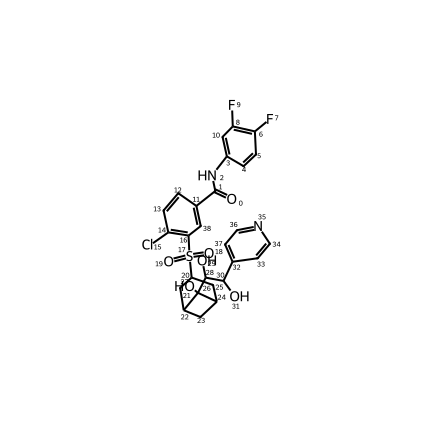 O=C(Nc1ccc(F)c(F)c1)c1ccc(Cl)c(S(=O)(=O)C2CC3CC(C2)C3(O)C(O)C(O)c2ccncc2)c1